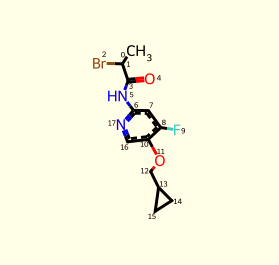 CC(Br)C(=O)Nc1cc(F)c(OCC2CC2)cn1